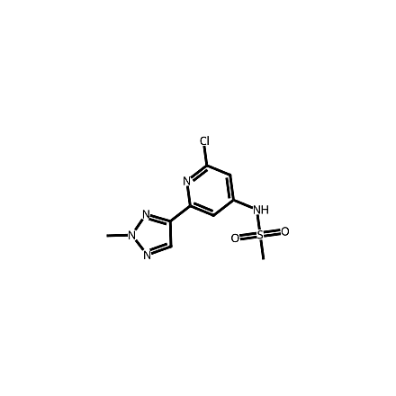 Cn1ncc(-c2cc(NS(C)(=O)=O)cc(Cl)n2)n1